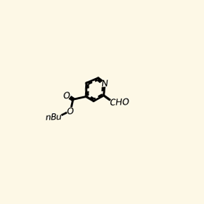 CCCCOC(=O)c1ccnc(C=O)c1